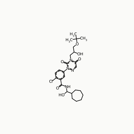 CC(C)(C)OCC(O)Cn1c(=O)cnn(-c2ccc(Cl)c(C(=O)NC(O)C3CCCCCC3)c2)c1=O